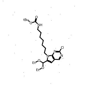 CCOC(OCC)c1cc2cnc(Cl)nc2n1CCCCCCCNC(=O)OC(C)(C)C